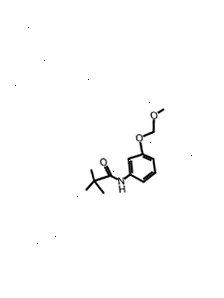 COCOc1cccc(NC(=O)C(C)(C)C)c1